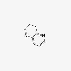 [c]1ccc2c(n1)CCC=N2